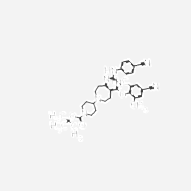 Cc1cc(C#N)cc(C)c1Oc1nc(Nc2ccc(C#N)cc2)nc2c1CCN(C1CCN(C(=O)OC(C)(C)C)CC1)CC2